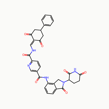 O=C1CCC(N2Cc3c(NC(=O)c4ccc(C(=O)NC=C5C(=O)CC(c6ccccc6)CC5=O)nc4)cccc3C2=O)C(=O)N1